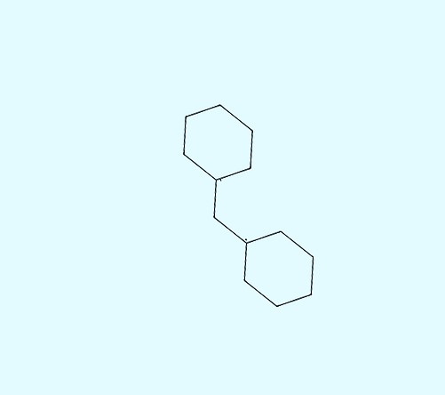 C1CC[C](C[C]2CCCCC2)CC1